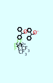 FC(F)(F)CC[C](F)(F)[Sn+2][C](F)(F)CCC(F)(F)F.[O-]CC(c1ccccc1)c1ccccc1.[O-]CC(c1ccccc1)c1ccccc1